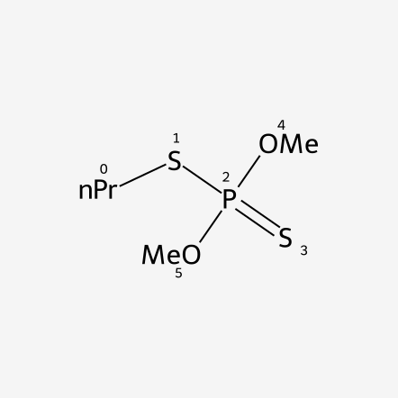 CCCSP(=S)(OC)OC